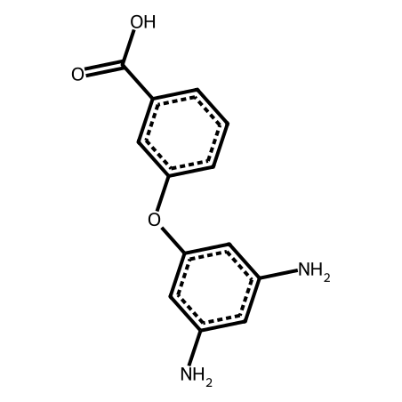 Nc1cc(N)cc(Oc2cccc(C(=O)O)c2)c1